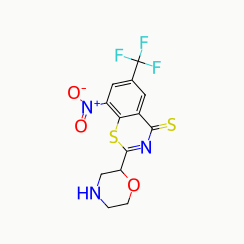 O=[N+]([O-])c1cc(C(F)(F)F)cc2c(=S)nc(C3CNCCO3)sc12